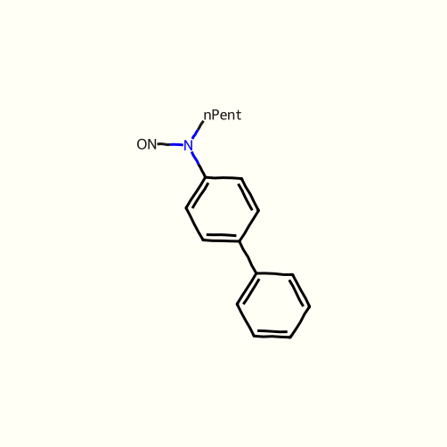 CCCCCN(N=O)c1ccc(-c2ccccc2)cc1